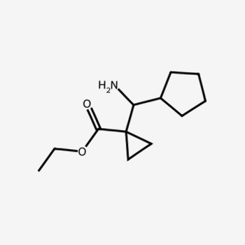 CCOC(=O)C1(C(N)C2CCCC2)CC1